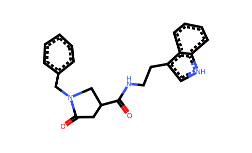 O=C(NCCc1c[nH]c2ccccc12)C1CC(=O)N(Cc2ccccc2)C1